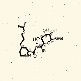 CS[C@H]1O[C@H]([C@H](NC(=O)[C@@H]2C[C@H](CCCSC(F)F)CCN2)C(C)C)[C@H](O)[C@H](O)[C@H]1O